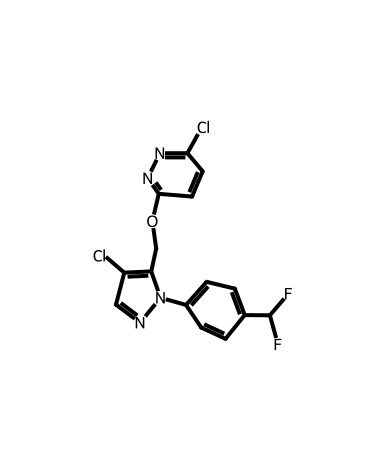 FC(F)c1ccc(-n2ncc(Cl)c2COc2ccc(Cl)nn2)cc1